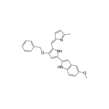 COc1ccc2[nH]c(-c3cc(OCc4ccccc4)c(/C=C4/C=CC(C)=N4)[nH]3)cc2c1